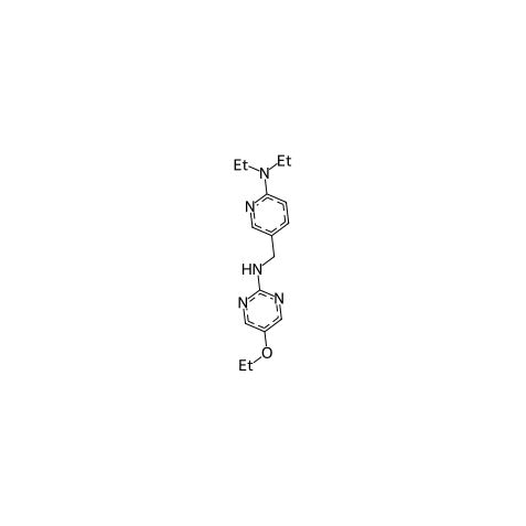 CCOc1cnc(NCc2ccc(N(CC)CC)nc2)nc1